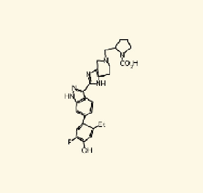 CCc1cc(O)c(F)cc1-c1ccc2c(-c3nc4c([nH]3)CCN(CC3CCCN3C(=O)O)C4)n[nH]c2c1